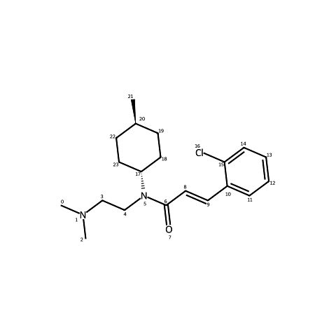 CN(C)CCN(C(=O)/C=C/c1ccccc1Cl)[C@H]1CC[C@H](C)CC1